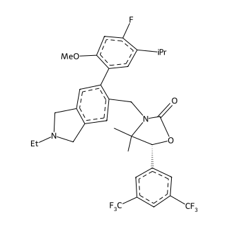 CCN1Cc2cc(CN3C(=O)O[C@H](c4cc(C(F)(F)F)cc(C(F)(F)F)c4)C3(C)C)c(-c3cc(C(C)C)c(F)cc3OC)cc2C1